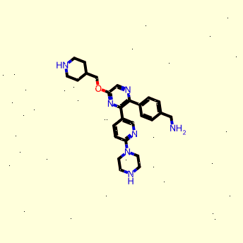 NCc1ccc(-c2ncc(OCC3CCNCC3)nc2-c2ccc(N3CCNCC3)nc2)cc1